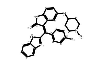 CCN1CCC(Nc2ccc3c(c2)C(=C(c2ccc(F)cc2)c2nc4ccccc4[nH]2)C(=O)N3)CC1